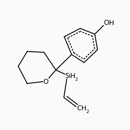 C=C[SiH2]C1(c2ccc(O)cc2)CCCCO1